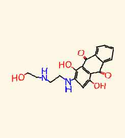 O=C1c2ccccc2C(=O)c2c(O)c(NCCNCCO)cc(O)c21